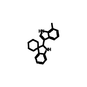 Cc1cccc2c(C3Nc4ccccc4C34CCCCC4)c[nH]c12